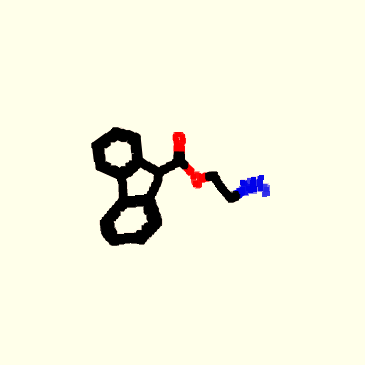 NCCOC(=O)C1c2ccccc2-c2ccccc21